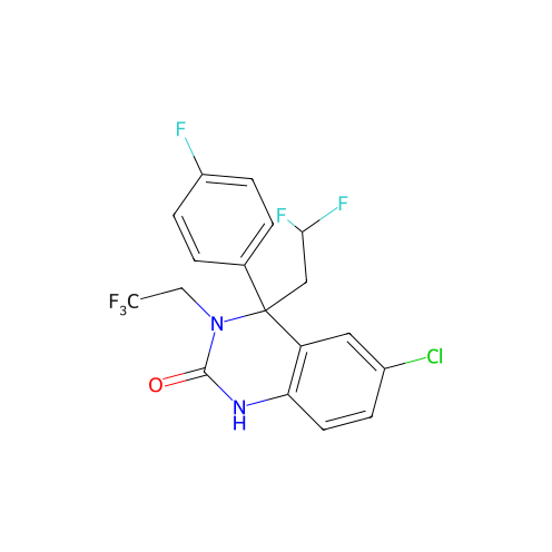 O=C1Nc2ccc(Cl)cc2C(CC(F)F)(c2ccc(F)cc2)N1CC(F)(F)F